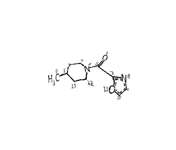 CC1CCN(C(=O)c2ncco2)CC1